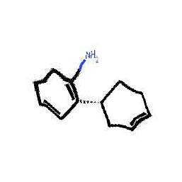 NC1=C([C@H]2CC=CCC2)C=CCC1